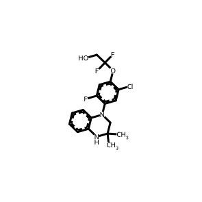 CC1(C)CN(c2cc(Cl)c(OC(F)(F)CO)cc2F)c2ccccc2N1